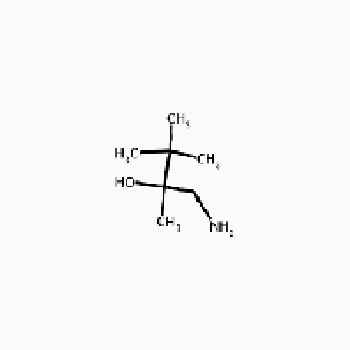 CC(C)(C)C(C)(O)CN